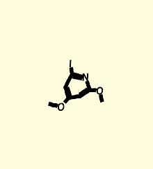 COc1cc(I)nc(OC)c1